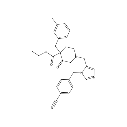 CCOC(=O)C1(Cc2cccc(C)c2)CCN(Cc2cncn2Cc2ccc(C#N)cc2)CC1=O